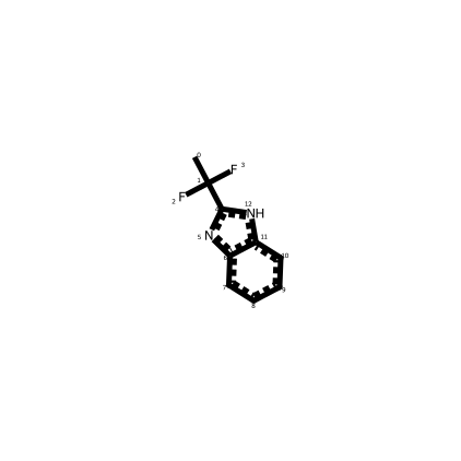 CC(F)(F)c1nc2ccccc2[nH]1